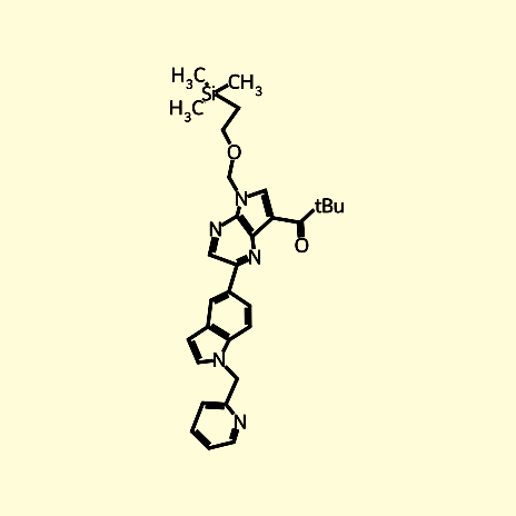 CC(C)(C)C(=O)c1cn(COCC[Si](C)(C)C)c2ncc(-c3ccc4c(ccn4Cc4ccccn4)c3)nc12